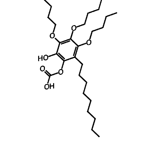 CCCCCCCCCc1c(OC(=O)O)c(O)c(OCCCC)c(OCCCC)c1OCCCC